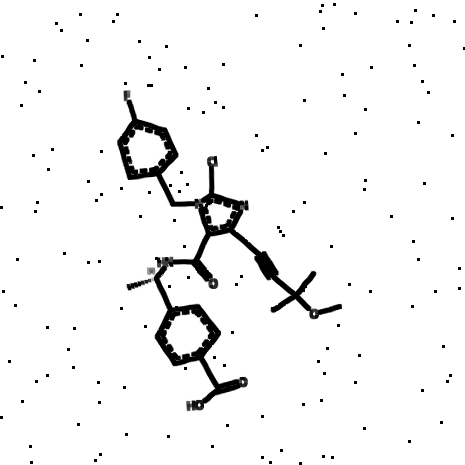 COC(C)(C)C#Cc1nc(Cl)n(Cc2ccc(F)cc2)c1C(=O)N[C@@H](C)c1ccc(C(=O)O)cc1